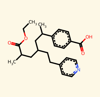 CCOC(=O)C(C)CC(CCc1ccncc1)CC(C)c1ccc(C(=O)O)cc1